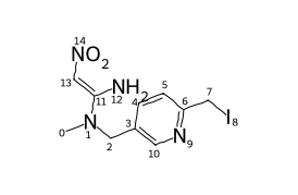 CN(Cc1ccc(CI)nc1)/C(N)=C/[N+](=O)[O-]